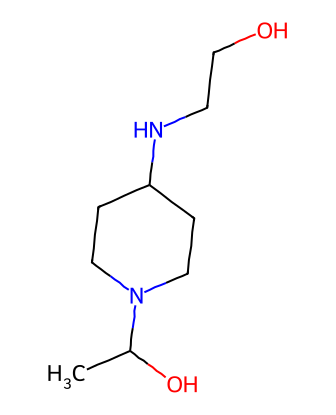 CC(O)N1CCC(NCCO)CC1